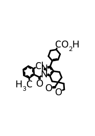 Cc1cccc(Cl)c1C(=O)n1nc(C2=CCC(C(=O)O)CC2)c2c1CC1(CCOC1=O)CC2